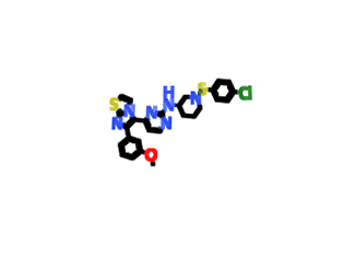 COc1cccc(-c2nc3sccn3c2-c2ccnc(N[C@@H]3CCCN(Sc4ccc(Cl)cc4)C3)n2)c1